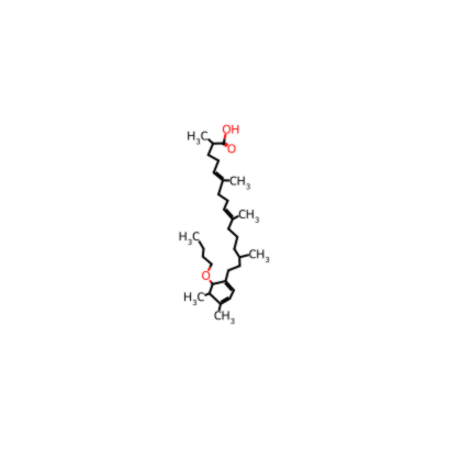 CCCCOC1C(CCC(C)CCC/C(C)=C/CC/C(C)=C/CCC(C)C(=O)O)=CC=C(C)C1C